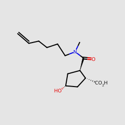 C=CCCCCN(C)C(=O)[C@@H]1C[C@@H](O)C[C@H]1C(=O)O